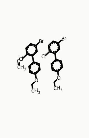 C=O.CCOc1ccc(-c2cc(Br)ccc2Cl)cc1.CCOc1ccc(-c2cc(Br)ccc2Cl)cc1